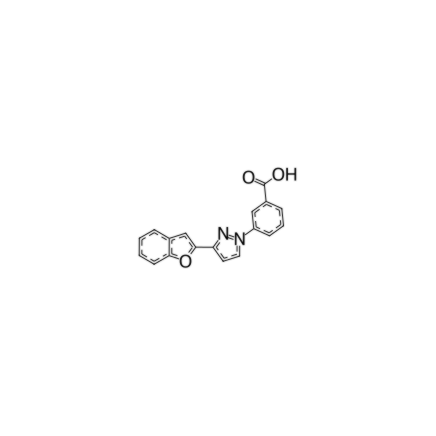 O=C(O)c1cccc(-n2ccc(-c3cc4ccccc4o3)n2)c1